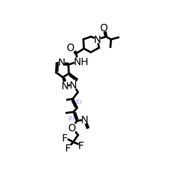 C=N/C(OCC(F)(F)F)=C(C)\C=C(/C)Cn1cc2c(NC(=O)C3CCN(C(=O)C(C)C)CC3)nccc2n1